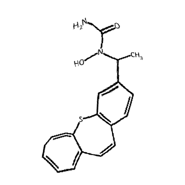 CC(c1ccc2c(c1)Sc1ccccc1C=C2)N(O)C(N)=O